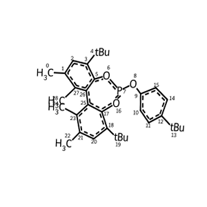 Cc1cc(C(C)(C)C)c2op(Oc3ccc(C(C)(C)C)cc3)oc3c(C(C)(C)C)cc(C)c(C)c3c2c1C